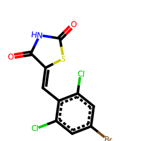 O=C1NC(=O)C(=Cc2c(Cl)cc(Br)cc2Cl)S1